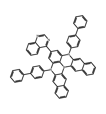 c1ccc(-c2ccc(N3c4cc5ccccc5cc4B4c5cc6ccccc6cc5N(c5ccc(-c6ccccc6)cc5)c5cc(-c6ncnc7ccccc67)cc3c54)cc2)cc1